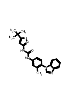 Cc1cc(NC(=O)Nc2cc(C(C)(C)C)on2)ccc1-n1cnc2ccccc21